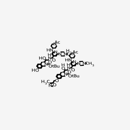 CC(=O)N1CCC(Nc2cc(C(=O)NC[C@@H](O)[C@@H]3Cc4ccc(O)cc4CN3C(=O)OC(C)(C)C)cc(N3CCN(C)CC3)n2)CC1.CC(=O)N1CCC(Nc2cc(C(=O)NC[C@@H](O)[C@@H]3Cc4ccc(OCc5ocnc5C)cc4CN3C(=O)OC(C)(C)C)cc(N3CCN(C)CC3)n2)CC1